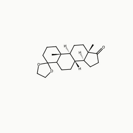 C[C@]12CCCC3(OCCO3)C1CC[C@@H]1[C@@H]2CC[C@]2(C)C(=O)CC[C@@H]12